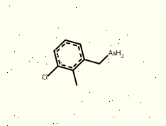 Cc1c(Cl)cccc1C[AsH2]